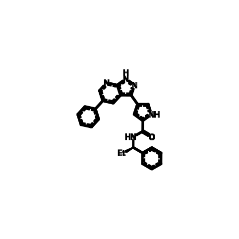 CC[C@@H](NC(=O)c1cc(-c2n[nH]c3ncc(-c4ccccc4)cc23)c[nH]1)c1ccccc1